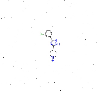 Fc1cccc(-c2n[nH]c(C3CCNCC3)n2)c1